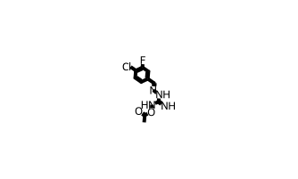 CC(=O)ONC(=N)NN=Cc1ccc(Cl)c(F)c1